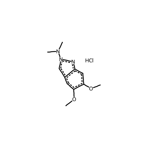 COc1cc2cn(N(C)C)nc2cc1OC.Cl